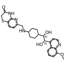 COc1cccc2c([C@@H](O)[C@H](O)C3CCC(NCc4ccc5c(n4)NC(=O)CS5)CC3)ccnc12